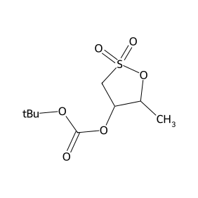 CC1OS(=O)(=O)CC1OC(=O)OC(C)(C)C